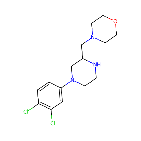 Clc1ccc(N2CCNC(CN3CCOCC3)C2)cc1Cl